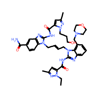 CCn1nc(C)cc1C(=O)Nc1nc2cccc(CN3CCOCC3)c2n1C/C=C/Cn1c(NC(=O)c2cc(C)nn2CCCO)nc2cc(C(N)=O)ccc21